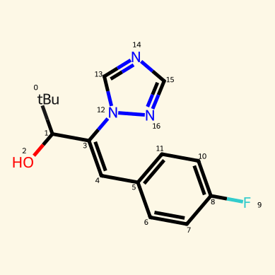 CC(C)(C)C(O)C(=Cc1ccc(F)cc1)n1cncn1